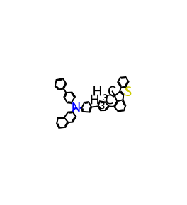 CC1(C)c2c(-c3ccc(-c4ccc(N(c5ccc(-c6ccccc6)cc5)c5ccc6ccccc6c5)cc4)cc3)cccc2-c2sc3ccccc3c21